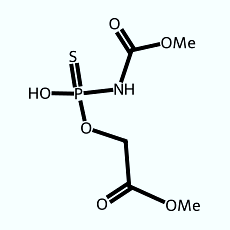 COC(=O)COP(O)(=S)NC(=O)OC